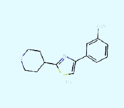 Br.COc1cccc(-c2csc(C3CCNCC3)n2)c1